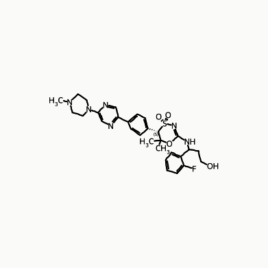 CN1CCN(c2cnc(-c3ccc([C@H]4C(C)(C)OC(NC(CCO)c5ccccc5F)=NS4(=O)=O)cc3)cn2)CC1